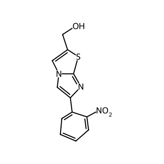 O=[N+]([O-])c1ccccc1-c1cn2cc(CO)sc2n1